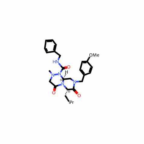 COc1ccc(CN2C[C@H]3N(C(=O)CN(C)N3C(=O)NCc3ccccc3)[C@@H](CC(C)C)C2=O)cc1